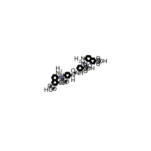 Nc1ccc2cc(S(=O)(=O)O)cc(O)c2c1/N=N/c1ccc(NC(=O)Nc2ccc(/N=N/c3c(N)ccc4cc(S(=O)(=O)O)cc(O)c34)c(S(=O)(=O)O)c2)cc1S(=O)(=O)O